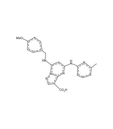 COc1ccc(CNc2cc(Nc3cccc(C)n3)nc3c(C(=O)O)cnn23)cc1